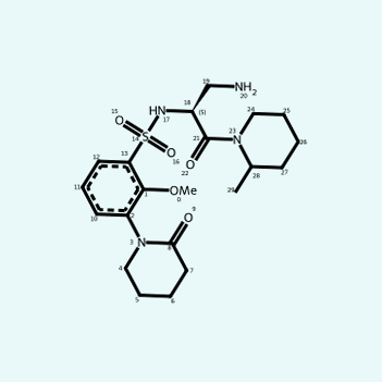 COc1c(N2CCCCC2=O)cccc1S(=O)(=O)N[C@@H](CN)C(=O)N1CCCCC1C